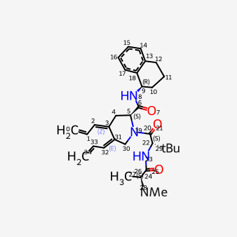 C=C/C=C1/C[C@@H](C(=O)N[C@@H]2CCCc3ccccc32)N(C(=O)[C@@H](NC(=O)[C@H](C)NC)C(C)(C)C)C/C1=C/C=C